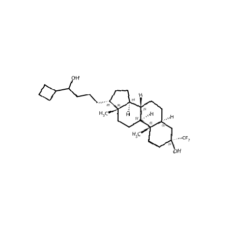 C[C@]12CC[C@@](O)(C(F)(F)F)C[C@@H]1CC[C@@H]1[C@@H]2CC[C@]2(C)[C@H](CCCC(O)C3CCC3)CC[C@@H]12